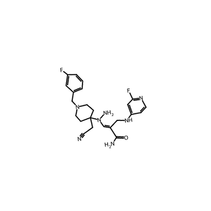 N#CCC1(N(N)/C=C(\CNc2ccnc(F)c2)C(N)=O)CCN(Cc2cccc(F)c2)CC1